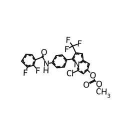 COC(=O)Oc1cc(Cl)n2c(-c3ccc(NC(=O)c4cccc(F)c4F)cc3)c(C(F)(F)F)cc2c1